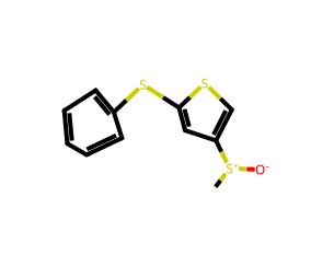 C[S+]([O-])c1csc(Sc2ccccc2)c1